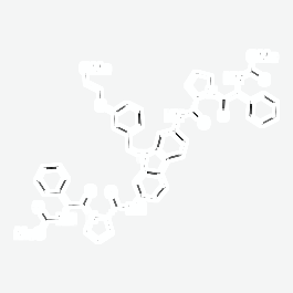 COCCOc1cccc(Cn2c3cc(NC(=O)[C@@H]4CCCN4C(=O)[C@H](NC(=O)OC)c4ccccc4)ccc3c3ccc(NC(=O)[C@@H]4CCCN4C(=O)[C@H](NC(=O)OC)c4ccccc4)cc32)c1